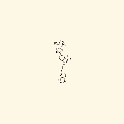 CN1CC[C@H](O)[C@H]1c1nc(-c2ccc(OCCCc3ccc4c(c3)OCCO4)c(C(F)(F)F)c2)no1